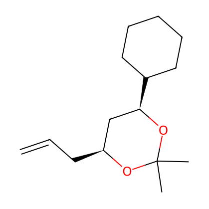 C=CC[C@H]1C[C@@H](C2CCCCC2)OC(C)(C)O1